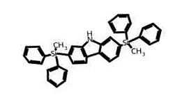 C[Si](c1ccccc1)(c1ccccc1)c1ccc2c(c1)[nH]c1cc([Si](C)(c3ccccc3)c3ccccc3)ccc12